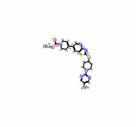 CCCc1cnc(N2CCC(Oc3nc4ncc(C5=CCN(C(=O)OC(C)(C)C)CC5)cc4s3)CC2)nc1